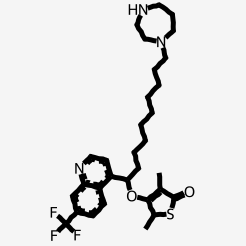 CC1=C(OC(CCCCCCCCCN2CCCNCC2)c2ccnc3cc(C(F)(F)F)ccc23)C(C)SC1=O